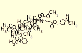 CCOC(=O)C(CCC(=O)OCc1ccc(NC)cc1)NC(=O)/C(C)=C/CN(C)C(=O)C(NCC(N(C)C(=O)OC(C)(C)C)C(C)(C)c1cn(C)c2ccccc12)C(C)(C)C